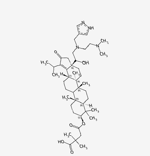 CC(C)C1=C2[C@H]3CCC4[C@@]5(C)CC[C@H](OC(=O)CC(C)(C)C(=O)O)C(C)(C)[C@@H]5CC[C@@]4(C)[C@]3(C)CC[C@@]2(C(O)CN(CCN(C)C)Cc2cn[nH]c2)CC1=O